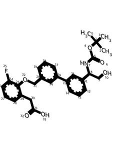 CC(C)(C)OC(=O)NC(CO)c1cccc(-c2cccc(COc3c(F)cccc3CC(=O)O)c2)c1